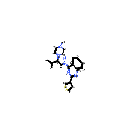 CC(C)C(CNc1nc(-c2ccsc2)nc2ccccc12)N1CCN(C)CC1